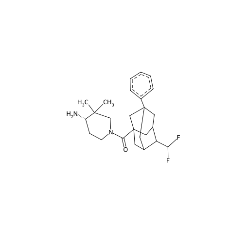 CC1(C)CN(C(=O)C23CC4CC(c5ccccc5)(CC(C2)C4C(F)F)C3)CC[C@@H]1N